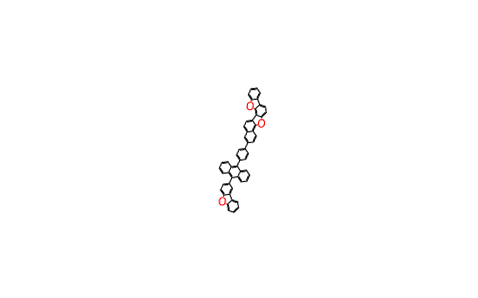 c1ccc2c(c1)oc1ccc(-c3c4ccccc4c(-c4ccc(-c5ccc6c(ccc7c6oc6ccc8c9ccccc9oc8c67)c5)cc4)c4ccccc34)cc12